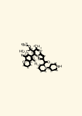 Cc1nc2cc(C(=O)C3CCCCN3C3CCNCC3)nn2c(-c2cc(F)c3c(c2C)CCCO3)c1[C@H](OC(C)(C)C)C(=O)O